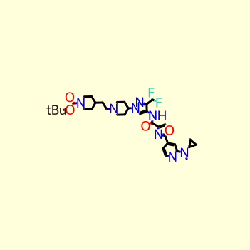 CN(c1cc(-c2nc(C(=O)Nc3cn(C4CCN(CCC5CCN(C(=O)OC(C)(C)C)CC5)CC4)nc3C(F)F)co2)ccn1)C1CC1